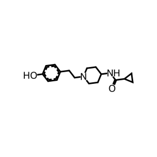 O=C(NC1CCN(CCc2ccc(O)cc2)CC1)C1CC1